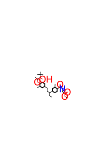 CCC(CCc1ccc(OC(C)C(O)C(C)(C)C)c(C)c1)c1ccc(C(=O)N(C)CC(=O)OC)c(C)c1